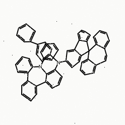 C1=Cc2ccccc2C2(c3ccccc31)c1ccccc1-c1cc(N(c3ccc(-c4ccccc4)cc3)c3cccc4c3N(c3ccccc3)c3ccccc3-c3ccccc3-4)ccc12